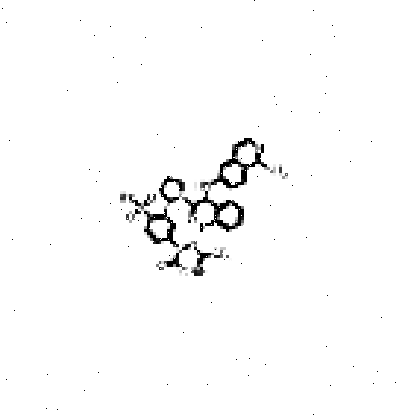 COC(=O)N(OC(=O)C(F)(F)F)c1ccc(S(=O)(=O)C(C)C)c([C@H]2CCCN2C(=O)[C@H](Nc2ccc3c(N)nccc3c2)c2ccccc2F)c1